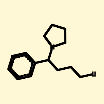 [Li][CH2]CCC(c1ccccc1)N1CCCC1